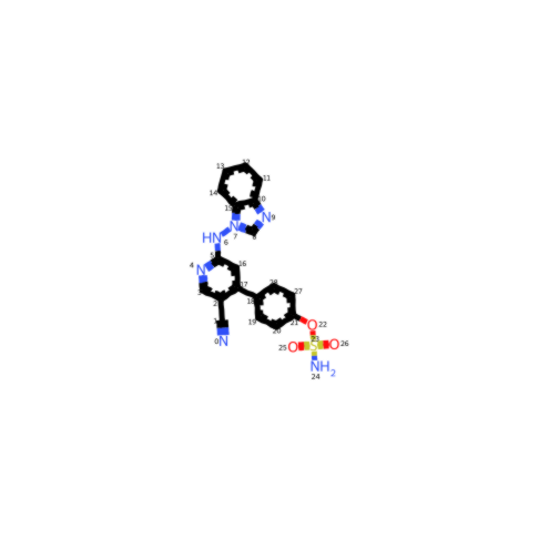 N#Cc1cnc(Nn2cnc3ccccc32)cc1-c1ccc(OS(N)(=O)=O)cc1